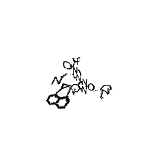 C=C(F)C(=O)N1CCN(c2nc(OC[C@@H]3CCCN3C)nc3c2CCN(c2cccc4cccc(C5CC5)c24)C3)C[C@@H]1CC#N